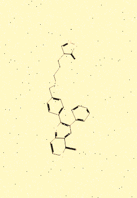 O=C1NN=CC1CCCNCc1ccc(-c2nc3cc[nH]c(=O)c3cc2-c2ccccc2)cc1